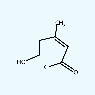 CC(=CC(=O)Cl)CCO